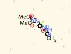 COC(=O)CN1CCN(Cc2cccc(NC(=O)Nc3ccc(C)nc3)c2F)C[C@H]1C(=O)OC